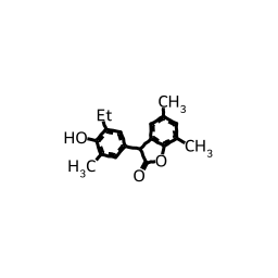 CCc1cc(C2C(=O)Oc3c(C)cc(C)cc32)cc(C)c1O